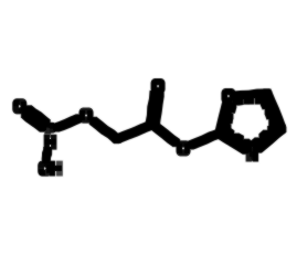 O=C(CO[PH](=O)O)Oc1ncco1